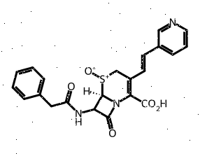 O=C(Cc1ccccc1)NC1C(=O)N2C(C(=O)O)=C(/C=C/c3cccnc3)C[S+]([O-])[C@H]12